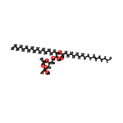 CCCCCC=CCCCCCCCCCCC(=O)OC(CCCCCCCCCCCCCCCC)C(=O)OCC(COC(C)=O)OC(C)=O